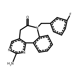 Nc1ncc2c(n1)-c1ccccc1N(Cc1cccc(F)c1)C(=O)C2